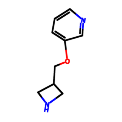 c1cncc(OCC2CNC2)c1